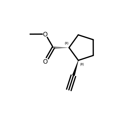 C#C[C@@H]1CCC[C@H]1C(=O)OC